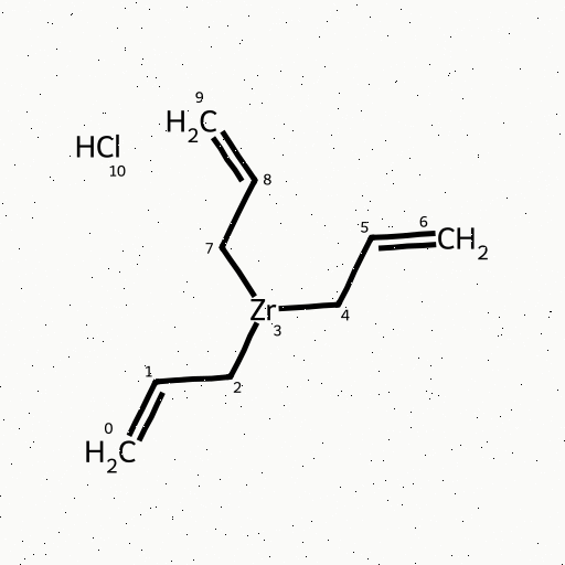 C=C[CH2][Zr]([CH2]C=C)[CH2]C=C.Cl